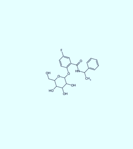 CC(NC(=O)c1cc(F)ccc1OC1OC(CO)C(O)C(O)C1O)c1ccccc1